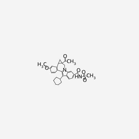 COc1ccc2c(c1)C1CC1(C(C)=O)Cn1c-2c(C2CCCCC2)c2ccc(C(=O)NS(C)(=O)=O)cc21